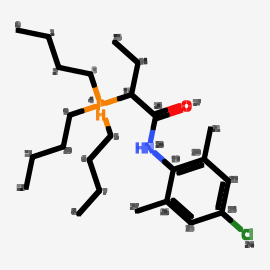 CCCC[PH](CCCC)(CCCC)C(CC)C(=O)Nc1c(C)cc(Cl)cc1C